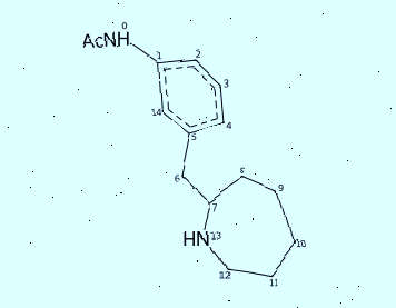 CC(=O)Nc1cccc(CC2CCCCCN2)c1